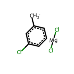 [CH2]c1cccc(Cl)c1.[Cl][Mg][Cl]